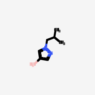 Bc1cnn(CC(C)C)c1